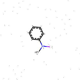 CCC[N+](I)c1ccccc1